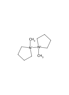 C[N+]1([N+]2(C)CCCC2)CCCC1